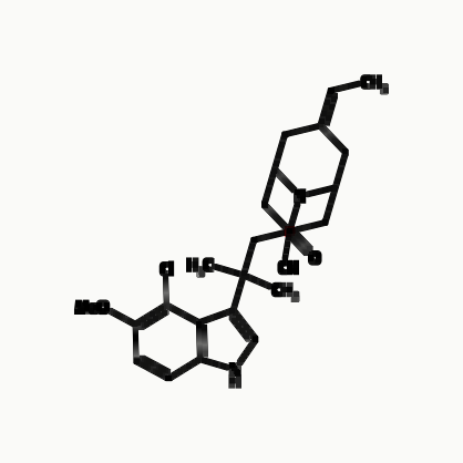 CC=C1CC2CC(C#N)CC(C1)N2C(=O)CC(C)(C)c1c[nH]c2ccc(OC)c(Cl)c12